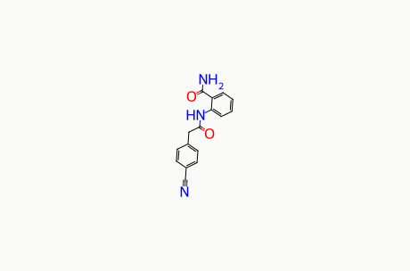 N#Cc1ccc(CC(=O)Nc2ccccc2C(N)=O)cc1